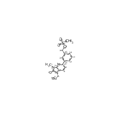 Cn1c(=O)n(CC(C)(C)C)c2ccc(-c3cccc(COS(C)(=O)=O)c3)nc21